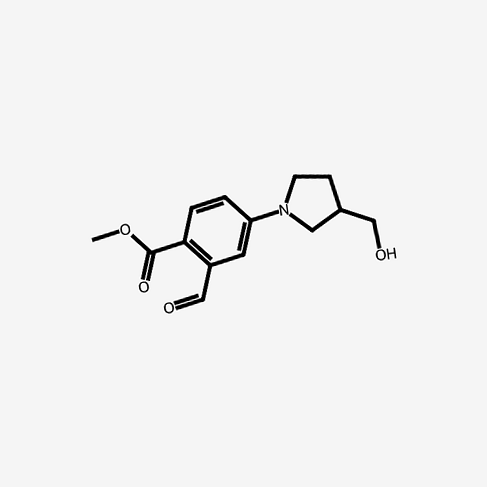 COC(=O)c1ccc(N2CCC(CO)C2)cc1C=O